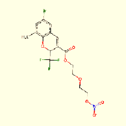 Cc1cc(Br)cc2c1OC(C(F)(F)F)C(C(=O)OCCOCCO[N+](=O)[O-])=C2